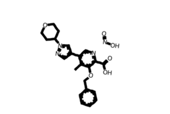 Cc1c(-c2cnn(C3CCOCC3)c2)cnc(C(=O)O)c1OCc1ccccc1.O=NO